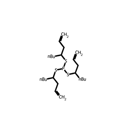 C=CCC(CCCC)SP(SC(CC=C)CCCC)SC(CC=C)CCCC